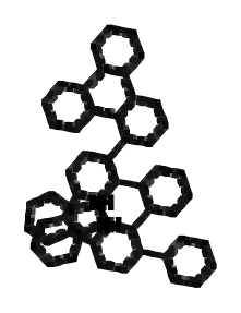 c1ccc(-c2ccc3c([nH]c4ccccc43)c2-c2ccccc2-c2c(-c3cccc4c5ccccc5c5ccccc5c34)ccc3c2[nH]c2ccccc23)cc1